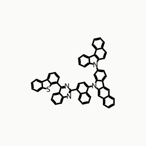 c1ccc2cc3c(cc2c1)c1ccc(-n2c4ccccc4c4c5ccccc5ccc42)cc1n3-c1ccc(-c2nc(-c3cccc4c3sc3ccccc34)c3ccccc3n2)c2ccccc12